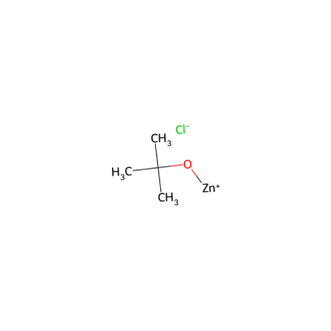 CC(C)(C)[O][Zn+].[Cl-]